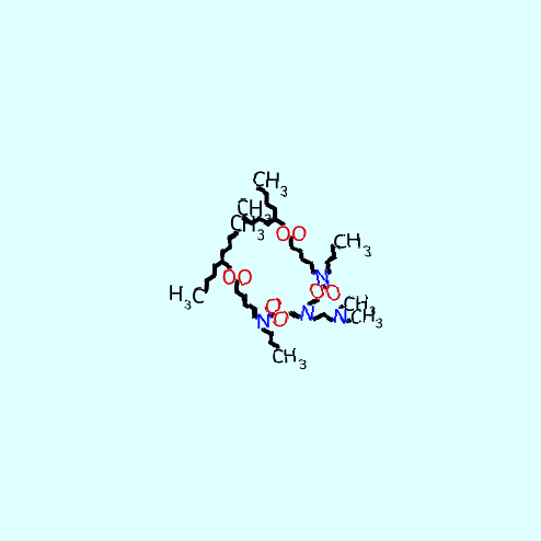 CCCCCC(CCCCC)COC(=O)CCCCCN(CCCCC)C(=O)OCCN(CCCN(CC)CC)CCOC(=O)N(CCCCC)CCCCCC(=O)OCC(CCCCC)CCCCC